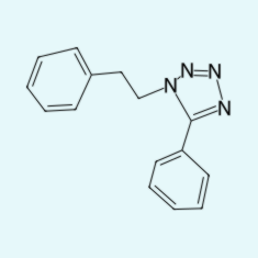 c1ccc(CCn2nnnc2-c2ccccc2)cc1